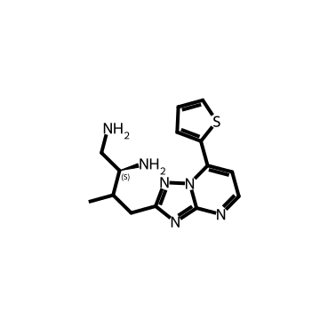 CC(Cc1nc2nccc(-c3cccs3)n2n1)[C@H](N)CN